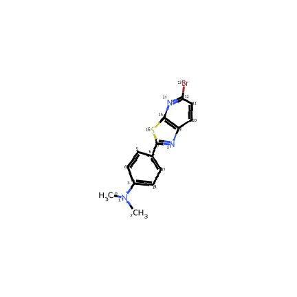 CN(C)c1ccc(-c2nc3ccc(Br)nc3s2)cc1